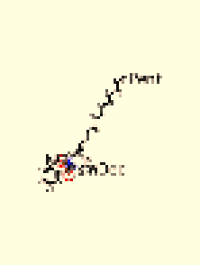 CCCCCC=CCC=CCCCCCCCCN(CCCCCCCCCCCC)S(=O)(=O)c1ccccc1[N+](=O)[O-]